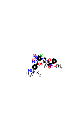 C=C(C)Nc1ccc(C(=O)Nc2cc(N3CCN(C(=O)c4c(-c5ccccc5OC)noc4C)CC3)c(Cl)cc2[N+](=O)[O-])cc1